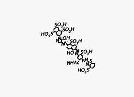 CC(=O)Nc1cc(N=Nc2ccc3c(S(=O)(=O)O)c(N=Nc4cnn(-c5cc(S(=O)(=O)O)c6cc(S(=O)(=O)O)cc(S(=O)(=O)O)c6c5)c4O)ccc3c2O)c(S(=O)(=O)O)cc1N=Nc1nc2c(S(=O)(=O)O)cccc2s1